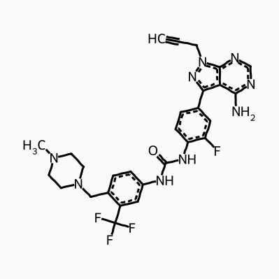 C#CCn1nc(-c2ccc(NC(=O)Nc3ccc(CN4CCN(C)CC4)c(C(F)(F)F)c3)c(F)c2)c2c(N)ncnc21